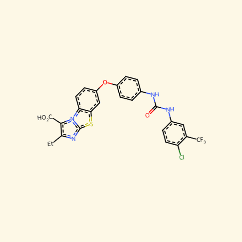 CCc1nc2sc3cc(Oc4ccc(NC(=O)Nc5ccc(Cl)c(C(F)(F)F)c5)cc4)ccc3n2c1C(=O)O